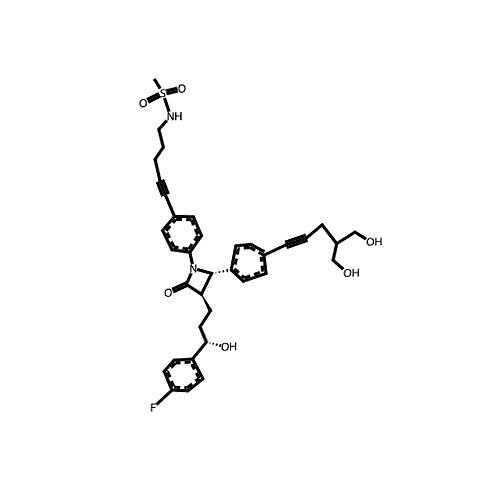 CS(=O)(=O)NCCCC#Cc1ccc(N2C(=O)[C@H](CC[C@H](O)c3ccc(F)cc3)[C@H]2c2ccc(C#CCC(CO)CO)cc2)cc1